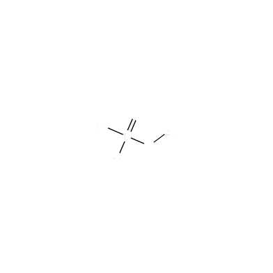 CCOP(=O)(O)Br